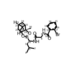 CC(C)C[C@H](NC(=O)CNC(=O)c1ccccc1Br)B1O[C@@H]2C[C@@H]3CC(C3(C)C)[C@]2(C)O1